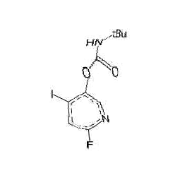 CC(C)(C)NC(=O)Oc1cnc(F)cc1I